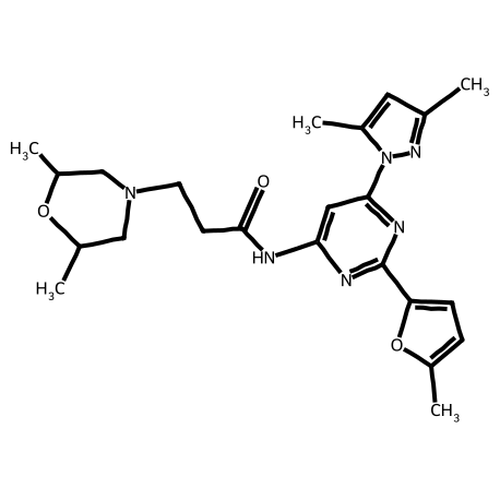 Cc1cc(C)n(-c2cc(NC(=O)CCN3CC(C)OC(C)C3)nc(-c3ccc(C)o3)n2)n1